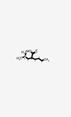 CCCCC(CN(C)C)C(=O)O